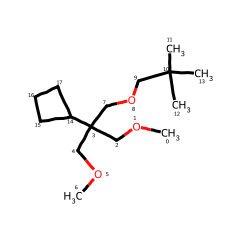 COCC(COC)(COCC(C)(C)C)C1CCC1